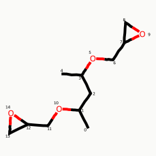 CC(CC(C)OCC1CO1)OCC1CO1